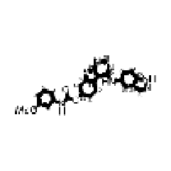 COc1cccc(NC(=O)OC2CCc3c(sc4ncnc(Nc5ccc6[nH]ncc6c5)c34)C2)c1